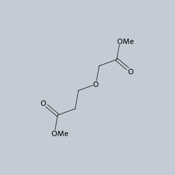 COC(=O)CCOCC(=O)OC